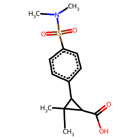 CN(C)S(=O)(=O)c1ccc(C2C(C(=O)O)C2(C)C)cc1